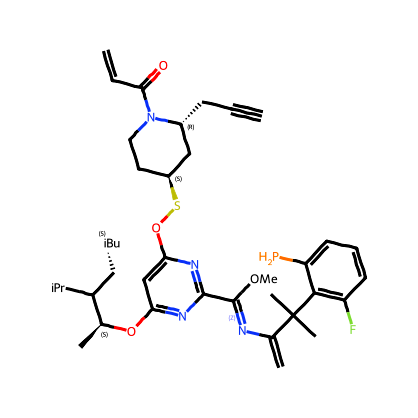 C#CC[C@@H]1C[C@@H](SOc2cc(O[C@@H](C)C(C[C@@H](C)CC)C(C)C)nc(/C(=N/C(=C)C(C)(C)c3c(F)cccc3P)OC)n2)CCN1C(=O)C=C